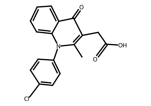 Cc1c(CC(=O)O)c(=O)c2ccccc2n1-c1ccc(Cl)cc1